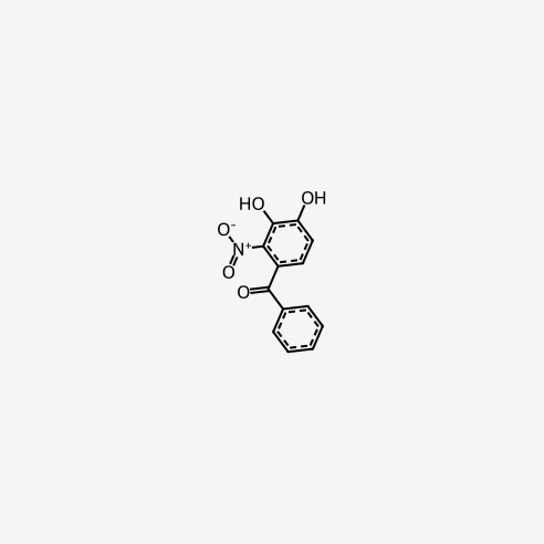 O=C(c1ccccc1)c1ccc(O)c(O)c1[N+](=O)[O-]